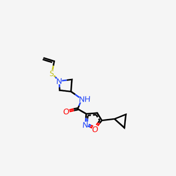 C=CSN1CC(NC(=O)c2cc(C3CC3)on2)C1